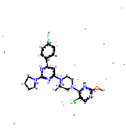 COc1ncc(Cl)c(N2CCN(c3cc(-c4ccc(F)cc4)nc(N4CCCC4)n3)[C@H](C)C2)n1